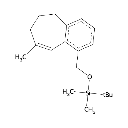 CC1=Cc2c(cccc2CO[Si](C)(C)C(C)(C)C)CCC1